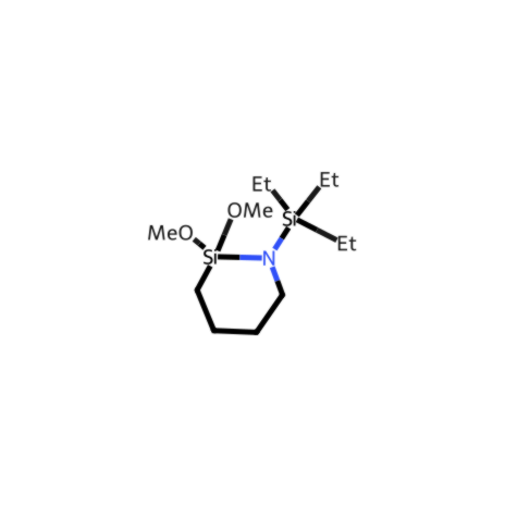 CC[Si](CC)(CC)N1CCCC[Si]1(OC)OC